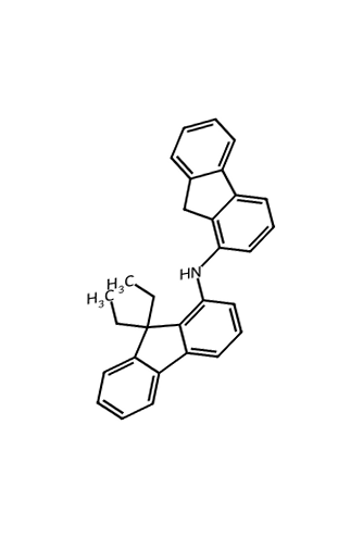 CCC1(CC)c2ccccc2-c2cccc(Nc3cccc4c3Cc3ccccc3-4)c21